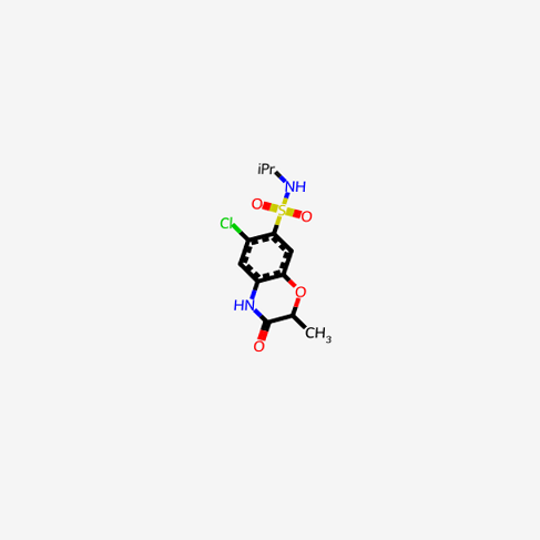 CC(C)NS(=O)(=O)c1cc2c(cc1Cl)NC(=O)C(C)O2